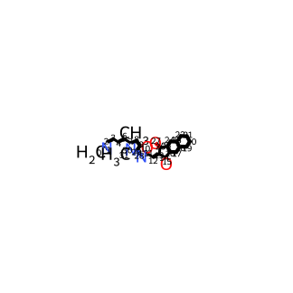 C=N/C=C\C=C(/C)c1cc2oc(C=C3C(=O)c4cc5ccccc5cc4C3=O)nc2n1C